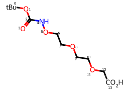 CC(C)(C)OC(=O)NOCCOCCOCC(=O)O